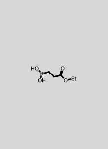 CCOC(=O)CCB(O)O